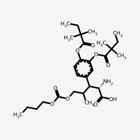 CCCCOC(=O)OCC(C)C(c1ccc(OC(=O)C(C)(C)CC)c(OC(=O)C(C)(C)CC)c1)[C@H](N)C(=O)O